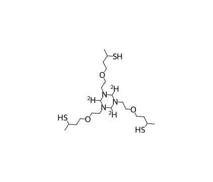 [2H]C1N(CCOCCC(C)S)C([2H])N(CCOCCC(C)S)C([2H])N1CCOCCC(C)S